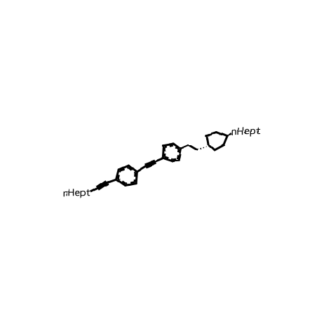 CCCCCCCC#Cc1ccc(C#Cc2ccc(CC[C@H]3CC[C@H](CCCCCCC)CC3)cc2)cc1